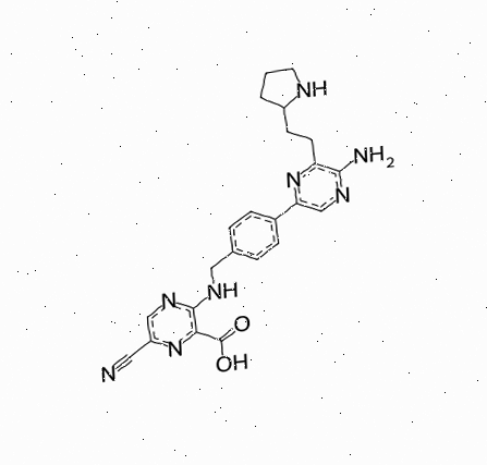 N#Cc1cnc(NCc2ccc(-c3cnc(N)c(CCC4CCCN4)n3)cc2)c(C(=O)O)n1